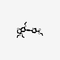 CCOC(=O)c1ccc(C#Cc2cc3c(cc2SCC)OCCC3(SCC)SCC)nc1